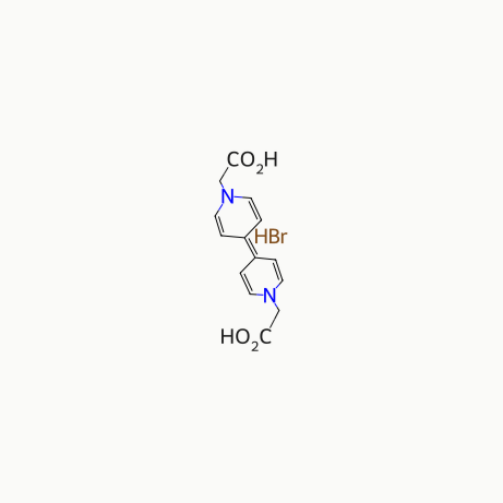 Br.O=C(O)CN1C=CC(=C2C=CN(CC(=O)O)C=C2)C=C1